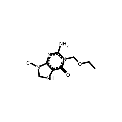 CCOCn1c(N)nc2c(c1=O)NCN2Cl